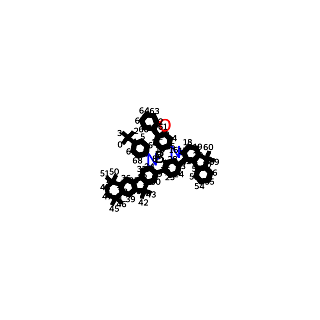 CC(C)(C)c1ccc(N2B3c4cc5c(cc4-n4c6ccc7c(c6c6ccc(c3c64)-c3cc4c(cc32)-c2cc3c(cc2C4(C)C)C(C)(C)CCC3(C)C)-c2ccccc2C7(C)C)oc2ccccc25)cc1